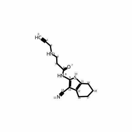 C#CCNCCC(=O)Nc1sc2c(c1C#N)CCCC2